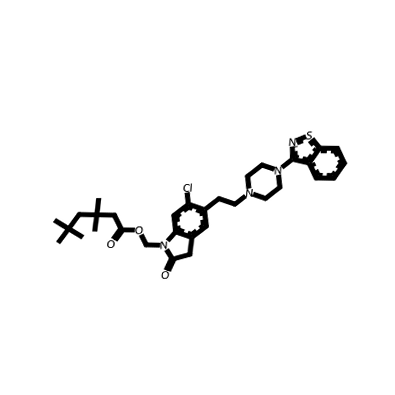 CC(C)(C)CC(C)(C)CC(=O)OCN1C(=O)Cc2cc(CCN3CCN(c4nsc5ccccc45)CC3)c(Cl)cc21